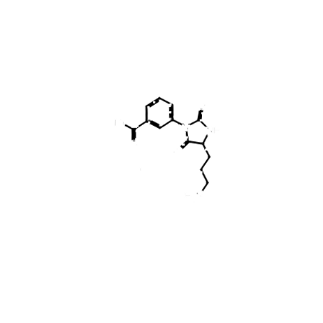 Cl.NCCCC1NC(=O)N(c2cccc(C(=O)O)c2)C1=O